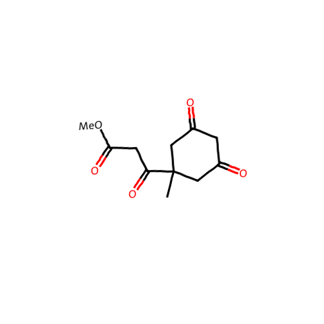 COC(=O)CC(=O)C1(C)CC(=O)CC(=O)C1